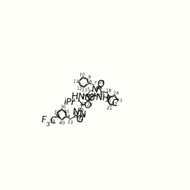 CC(C)[C@H](NC(=O)C[N+]1(Cc2ccccc2)C(=O)NC(Cc2ccccc2)C1=O)C(=O)c1noc(Cc2cccc(C(F)(F)F)c2)n1